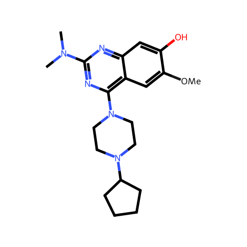 COc1cc2c(N3CCN(C4CCCC4)CC3)nc(N(C)C)nc2cc1O